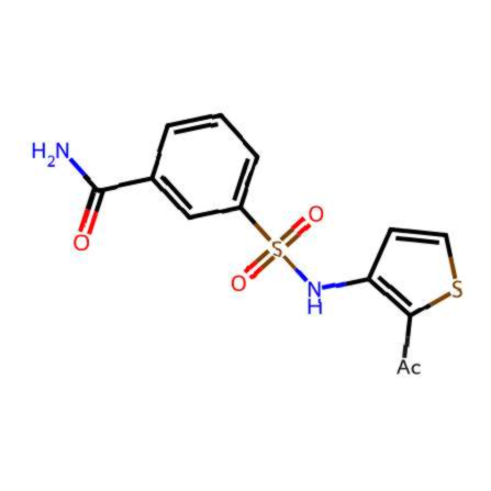 CC(=O)c1sccc1NS(=O)(=O)c1cccc(C(N)=O)c1